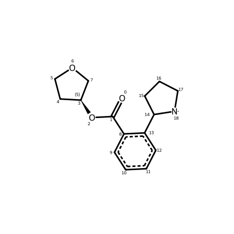 O=C(O[C@H]1CCOC1)c1ccccc1C1CCC[N]1